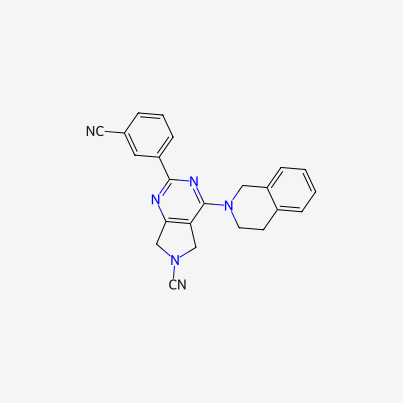 N#Cc1cccc(-c2nc3c(c(N4CCc5ccccc5C4)n2)CN(C#N)C3)c1